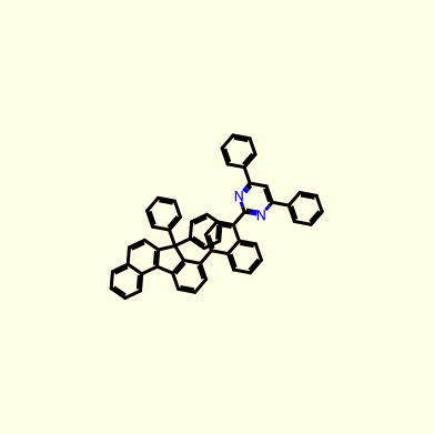 c1ccc(-c2cc(-c3ccccc3)nc(-c3ccc(-c4cccc5c4C(c4ccccc4)(c4ccccc4)c4ccc6ccccc6c4-5)c4ccccc34)n2)cc1